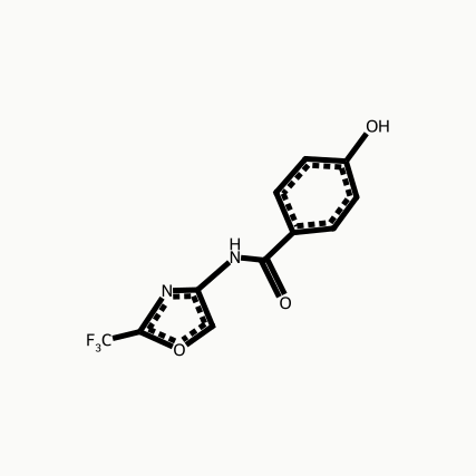 O=C(Nc1coc(C(F)(F)F)n1)c1ccc(O)cc1